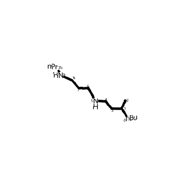 CCCCC(C)CCNCCCNCCC